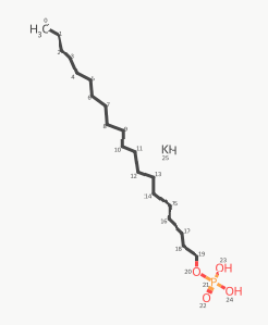 CCCCCCCCCCCCCCCCCCCCOP(=O)(O)O.[KH]